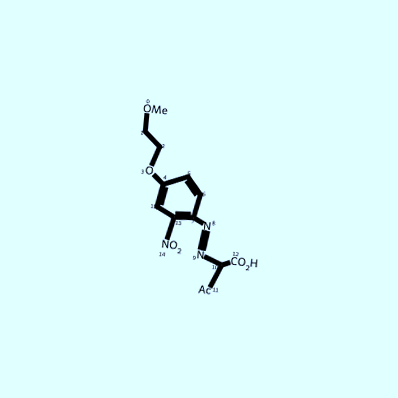 COCCOc1ccc(N=NC(C(C)=O)C(=O)O)c([N+](=O)[O-])c1